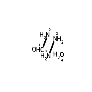 NC=O.NN.O